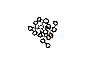 Bc1c(-c2nc(N3B(C4=CCCC=C4)c4ccccc4-c4ccccc43)nc(-n3c4c(c5ccccc53)C=CCC#C4)n2)c(B)c(S(c2ccccc2)(c2ccccc2)c2cccc(-c3ccccc3)c2)c(B)c1S(c1ccccc1)(c1ccccc1)c1cccc(-c2ccccc2)c1